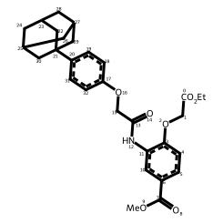 CCOC(=O)COc1ccc(C(=O)OC)cc1NC(=O)COc1ccc(C23CC4CC(CC(C4)C2)C3)cc1